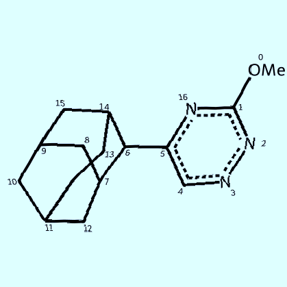 COc1nncc(C2C3CC4CC(C3)CC2C4)n1